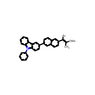 CO/C(C)=C(\C(C)=O)c1ccc2cc(-c3ccc4c(c3)c3ccccc3n4-c3ccccc3)ccc2c1